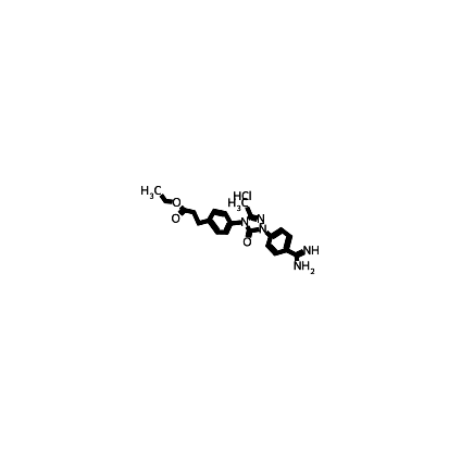 CCOC(=O)CCc1ccc(-n2c(C)nn(-c3ccc(C(=N)N)cc3)c2=O)cc1.Cl